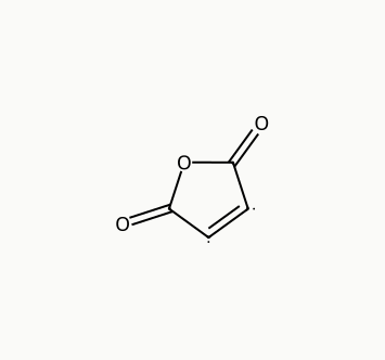 O=C1[C]=[C]C(=O)O1